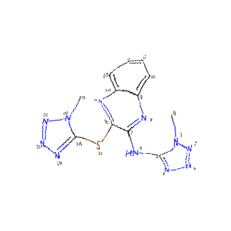 Cn1nnnc1Nc1nc2ccccc2nc1Sc1nnnn1C